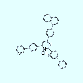 CN1C(c2ccc(-c3cccnc3)cc2)=CC(c2ccc(-c3cccc4ccccc34)cc2)=NC1c1ccc(-c2ccccc2)cc1